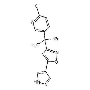 CC(C)C(C)(c1ccc(Cl)nc1)c1noc(-c2cn[nH]c2)n1